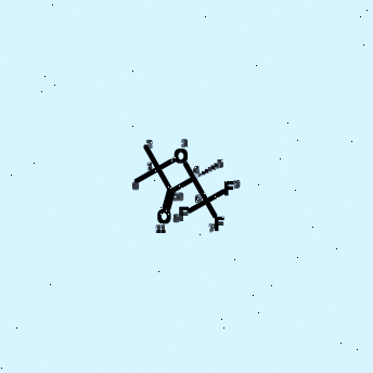 CC1(C)O[C@@](C)(C(F)(F)F)C1=O